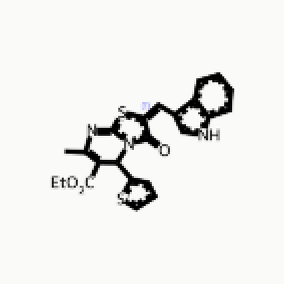 CCOC(=O)C1=C(C)N=c2s/c(=C/c3c[nH]c4ccccc34)c(=O)n2C1c1cccs1